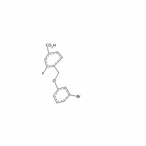 O=C(O)c1ccc(COc2cccc(Br)c2)c(F)c1